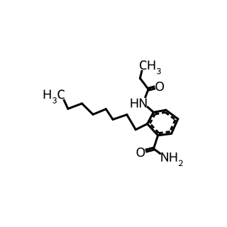 CCCCCCCCc1c(NC(=O)CC)cccc1C(N)=O